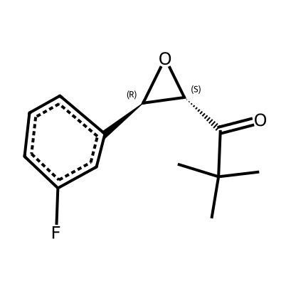 CC(C)(C)C(=O)[C@H]1O[C@@H]1c1cccc(F)c1